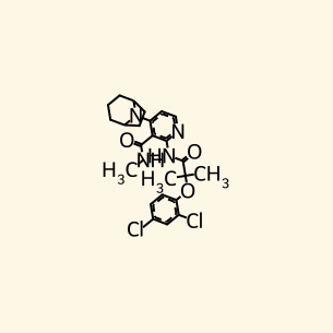 CNC(=O)c1c(N2C3CCCC2CC3)ccnc1NC(=O)C(C)(C)Oc1ccc(Cl)cc1Cl